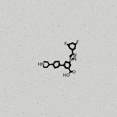 O=C(O)c1cc(-c2ccc(C3CCNCC3)cc2)cc(-n2cc(-c3cc(F)cc(F)c3)nn2)c1